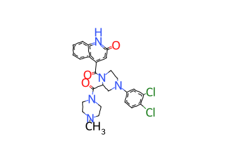 CN1CCN(C(=O)C2CN(c3ccc(Cl)c(Cl)c3)CCN2C(=O)c2cc(=O)[nH]c3ccccc23)CC1